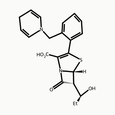 CC[C@H](O)[C@@H]1C(=O)N2C(C(=O)O)=C(c3ccccc3CN3C=CCC=C3)S[C@H]12